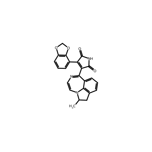 CC1Cc2cccc3c2N1C=CN=C3C1=C(c2cccc3c2OCO3)C(=O)NC1=O